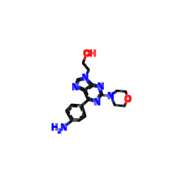 Nc1ccc(-c2nc(N3CCOCC3)nc3c2ncn3CCO)cc1